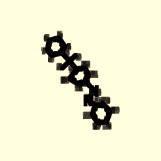 CC(C)(c1ccccc1)c1ccc(/N=N/c2ccccc2)cc1